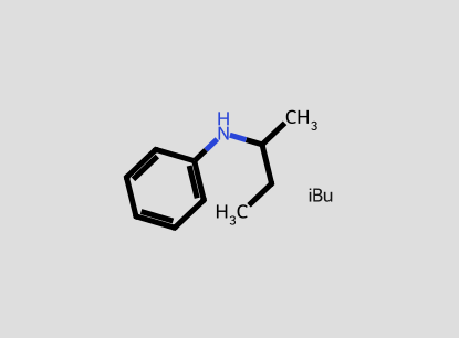 CC[C@H](C)C(C)C(C)Nc1ccccc1